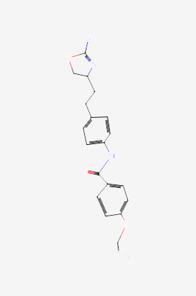 CCOc1ccc(C(=O)Nc2ccc(CCC3COC(N)=N3)cc2)cc1